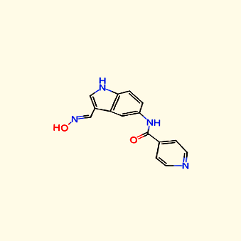 O=C(Nc1ccc2[nH]cc(C=NO)c2c1)c1ccncc1